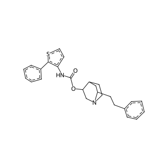 O=C(Nc1ccsc1-c1ccccc1)OC1CN2CCC1CC2CCc1ccccc1